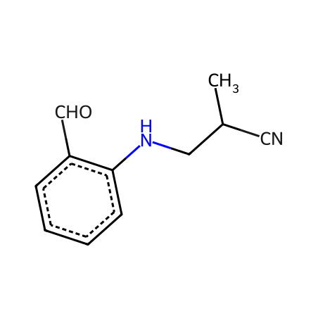 CC(C#N)CNc1ccccc1C=O